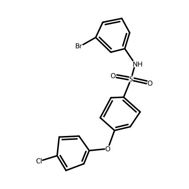 O=S(=O)(Nc1cccc(Br)c1)c1ccc(Oc2ccc(Cl)cc2)cc1